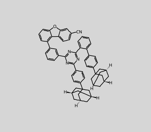 N#Cc1ccc2c(c1)oc1cccc(-c3cccc(-c4nc(-c5ccc(C67C[C@H]8C[C@@H](C6)C[C@@H](C7)C8)cc5)nc(-c5ccccc5-c5ccc(C67C[C@H]8C[C@@H](C6)C[C@@H](C7)C8)cc5)n4)c3)c12